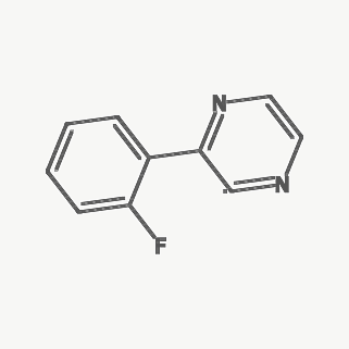 Fc1ccccc1-c1[c]nccn1